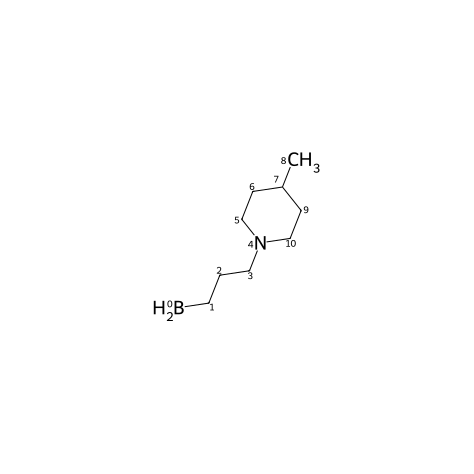 BCCCN1CCC(C)CC1